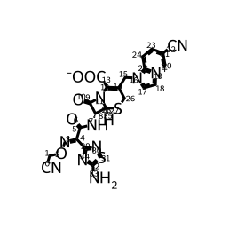 N#CCO/N=C(/C(=O)N[C@@H]1C(=O)N2C(C(=O)[O-])=C(Cn3cc[n+]4cc(C#N)ccc34)CS[C@H]12)c1nsc(N)n1